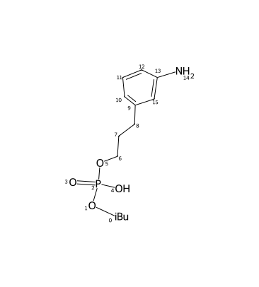 CCC(C)OP(=O)(O)OCCCc1cccc(N)c1